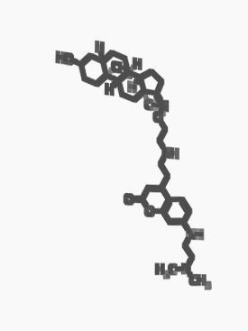 CN(C)CCNc1ccc2c(CCNCCO/N=C3/CC[C@H]4[C@@H]5CC[C@H]6C[C@H](O)CC[C@]6(C)[C@H]5CC[C@]34C)cc(=O)oc2c1